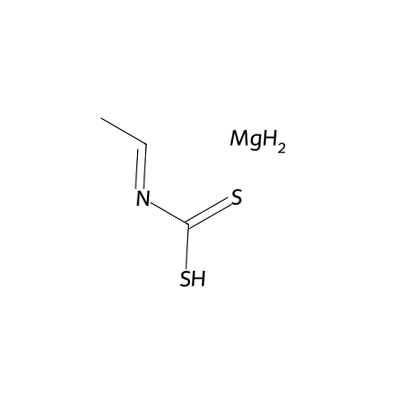 CC=NC(=S)S.[MgH2]